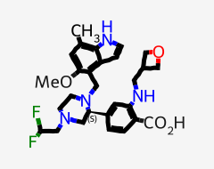 COc1cc(C)c2[nH]ccc2c1CN1CCN(CC(F)F)C[C@@H]1c1ccc(C(=O)O)c(NCC2COC2)c1